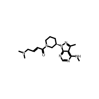 CNc1ncnc2c1c(C)nn2[C@@H]1CCCN(C(=O)/C=C/CN(C)C)C1